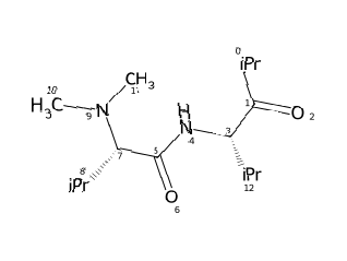 CC(C)C(=O)[C@@H](NC(=O)[C@H](C(C)C)N(C)C)C(C)C